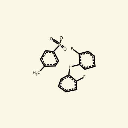 Cc1ccc(S(=O)(=O)[O-])cc1.Fc1ccccc1[I+]c1ccccc1F